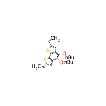 C=Cc1cc2c(OCCCC)c(OCCCC)c3cc(C=C)sc3c2s1